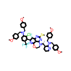 COc1ccc(CN(Cc2ccc(OC)cc2)c2ccc(C(F)(F)F)c(-c3nc4c5c(nc(SC)nc5c3F)N([C@H](C)c3cccnc3N(Cc3ccc(OC)cc3)Cc3ccc(OC)cc3)CCO4)c2Cl)cc1